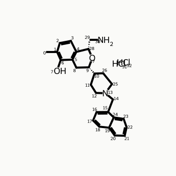 Cc1ccc2c(c1O)C[C@@H](C1CCN(Cc3cccc4ccccc34)CC1)O[C@H]2CN.Cl.Cl